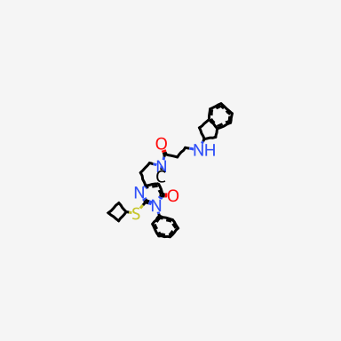 O=C(CCNC1Cc2ccccc2C1)N1CCc2nc(SC3CCC3)n(-c3ccccc3)c(=O)c2C1